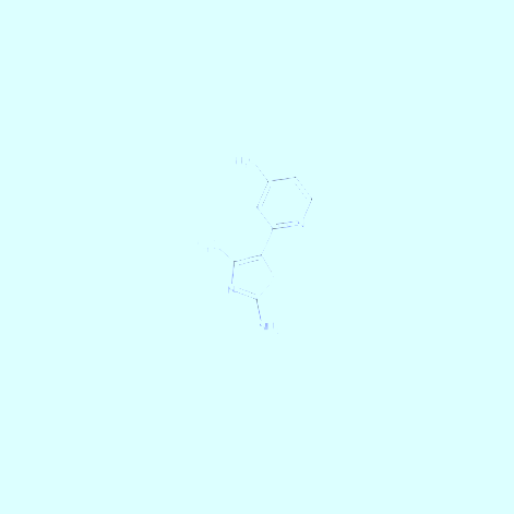 Cc1ccnc(-c2sc(N)nc2C)c1